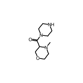 CN1CCOCC1C(=O)N1CCNCC1